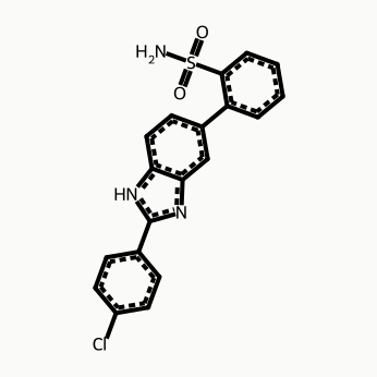 NS(=O)(=O)c1ccccc1-c1ccc2[nH]c(-c3ccc(Cl)cc3)nc2c1